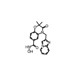 CC1(C)Oc2ccc(C(=O)NO)cc2N(Cc2cn3ccccc3n2)C1=O